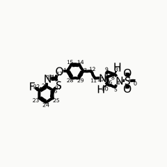 CS(=O)(=O)N1C[C@H]2C[C@@H]1CN2CCc1ccc(Oc2nc3c(F)cccc3s2)cc1